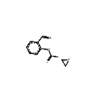 C1CO1.CC(=S)Oc1ccccc1C=O